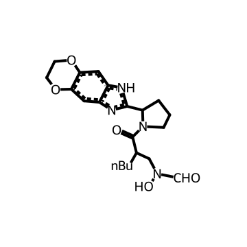 CCCCC(CN(O)C=O)C(=O)N1CCCC1c1nc2cc3c(cc2[nH]1)OCCO3